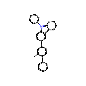 Cc1cc(-c2ccc3c(c2)c2ccccc2n3-c2ccccc2)ccc1-c1ccccc1